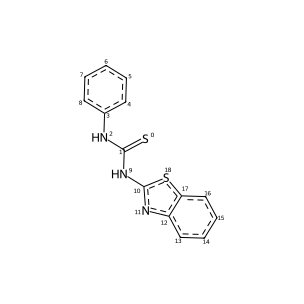 S=C(Nc1ccccc1)Nc1nc2ccccc2s1